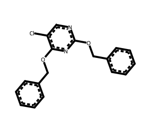 Clc1[c]nc(OCc2ccccc2)nc1OCc1ccccc1